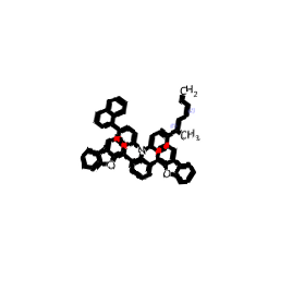 C=C/C=C\C=C(/C)c1ccc(N(c2ccc(-c3cccc4ccccc34)cc2)c2c(-c3cccc4c3oc3ccccc34)cccc2-c2cccc3c2oc2ccccc23)cc1